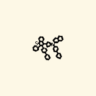 c1ccc(-c2ccc(-c3c(-c4ccc(N(c5ccc(-c6ccccc6)cc5)c5ccc6ccccc6c5)cc4)c4ccccc4c4sc5ccccc5c34)cc2)cc1